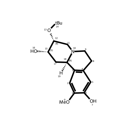 COc1cc2c(cc1O)CCN1C[C@@H](OC(C)(C)C)[C@@H](O)C[C@H]21